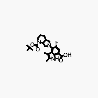 Cc1[nH]c2c(C(=O)O)cc(F)c(N3CC4CCCN(C(=O)OC(C)(C)C)C4C3)c2c1C